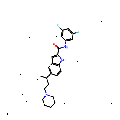 CC(CCN1CCCCC1)c1ccc2[nH]c(C(=O)Nc3cc(F)cc(F)c3)cc2c1